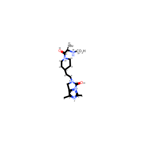 Cc1nc(C)n2c1CN(CCC1CCN(C(=O)[C@H](NC(=O)O)C(C)(C)C)CC1)C2=O